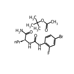 CC(=O)OC(C)(C)C.CCC[C@H](NC(=O)Nc1ccc(Br)cc1F)C(N)=O